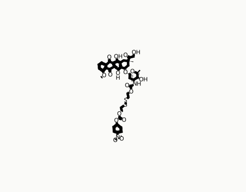 COc1cccc2c1C(=O)c1c(O)c3c(c(O)c1C2=O)C[C@@](C)(C(=O)CO)C[C@@H]3O[C@H]1C[C@H](NC(=O)OCCSSCCOC(=O)Oc2ccc([N+](=O)[O-])cc2)[C@H](O)[C@H](C)O1